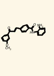 COc1cccc(C(=O)C=Cc2ccc(C(=O)Nc3ccccc3N)cc2)c1